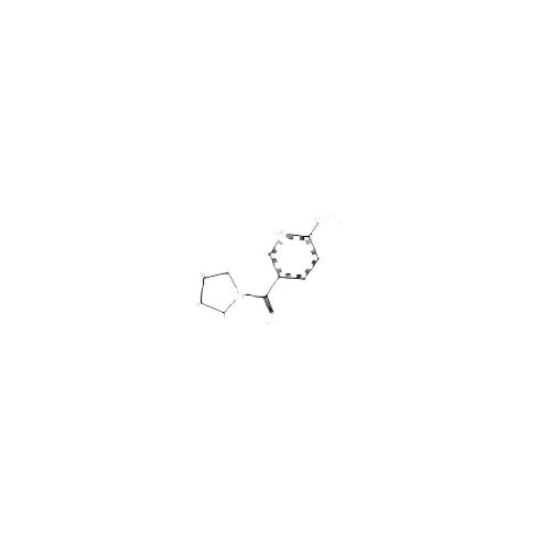 Cc1ccc(C(=O)N2CCCC2)cn1